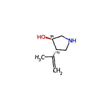 C=C(C)[C@H]1CNC[C@@H]1O